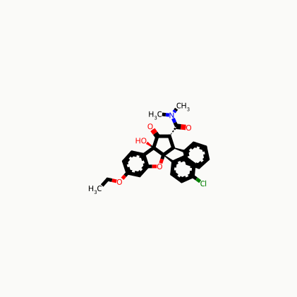 CCOc1ccc2c(c1)O[C@@]1(c3ccc(Cl)cc3)[C@H](c3ccccc3)[C@@H](C(=O)N(C)C)C(=O)[C@@]21O